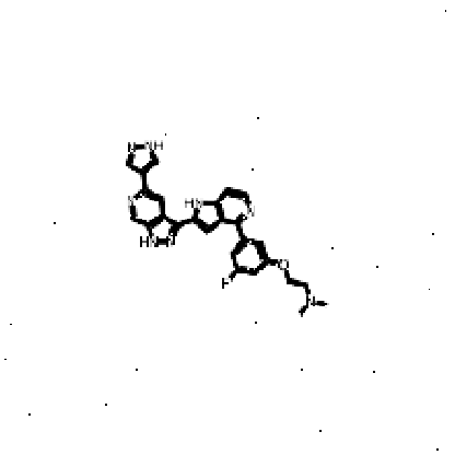 CN(C)CCOc1cc(F)cc(-c2nccc3[nH]c(-c4n[nH]c5cnc(-c6cn[nH]c6)cc45)cc23)c1